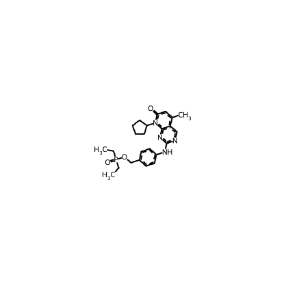 CCP(=O)(CC)OCc1ccc(Nc2ncc3c(C)cc(=O)n(C4CCCC4)c3n2)cc1